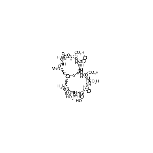 CN[C@H]1CSCc2cc3cc(c2)CSC[C@@H](NC(=O)[C@@H](C)NC(=O)[C@H](Cc2cccc4ccccc24)NC(=O)[C@H](CCC(=O)O)NC(=O)[C@H](CC(N)=O)NC(=O)[C@@H](C)NC1=O)C(=O)N[C@@H](CCCC(=O)O)C(=O)N[C@@H](CC(=O)O)C(=O)N[C@@H](Cc1ccccc1)C(=O)N[C@@H](Cc1ccc(O)cc1)C(=O)N[C@@H](CC(=O)O)C(=O)N[C@@H](C(C)(C)C)C(=O)N[C@H](C(N)=O)CSC3